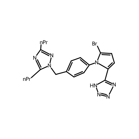 CCCc1nc(CCC)n(Cc2ccc(-n3c(Br)ccc3-c3nnn[nH]3)cc2)n1